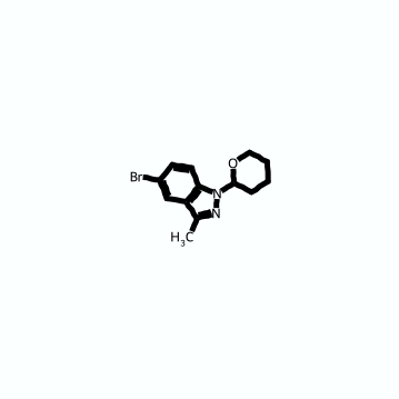 Cc1nn(C2CCCCO2)c2ccc(Br)cc12